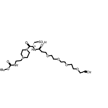 C#CCOCCOCCOCCOCCC(=O)N[C@@H](CS(=O)(=O)O)C(=O)N1CCN(CCNC(=O)OC(C)(C)C)CC1